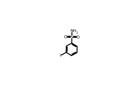 NS(=O)(=O)c1cccc(I)c1